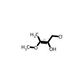 CO/C(C)=C(\O)CCl